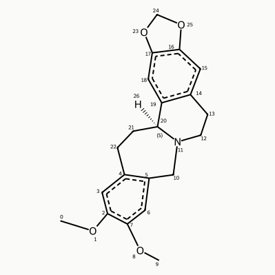 COc1cc2c(cc1OC)CN1CCc3cc4c(cc3[C@@H]1CC2)OCO4